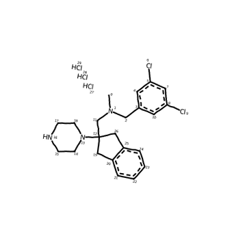 CN(Cc1cc(Cl)cc(Cl)c1)CC1(N2CCNCC2)Cc2ccccc2C1.Cl.Cl.Cl